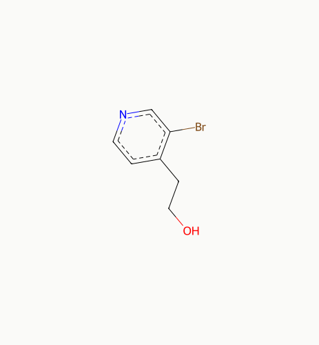 OCCc1ccncc1Br